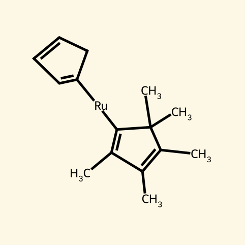 CC1=C(C)C(C)(C)[C]([Ru][C]2=CC=CC2)=C1C